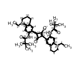 CCN1CCCc2cc(C3=C([O-])/C(=c4\cc5c(cc4NC(=O)C(C)(C)C)=[N+](CC)CCC5)C3=O)c(NC(=O)C(C)(C)C)cc21